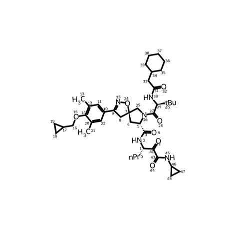 CCC[C@H](NC(=O)[C@@H]1C[C@]2(CC(c3cc(C)c(OCC4CC4)c(C)c3)=NO2)CN1C(=O)[C@@H](NC(=O)CC1CCCCC1)C(C)(C)C)C(=O)C(=O)NC1CC1